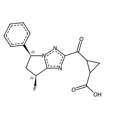 O=C(O)C1CC1C(=O)c1nc2n(n1)[C@H](c1ccccc1)C[C@@H]2F